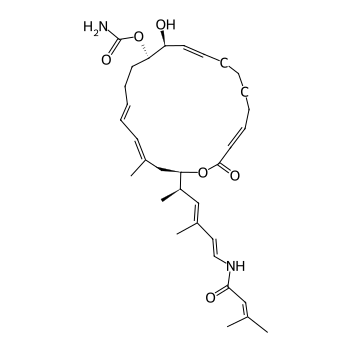 CC(C)=CC(=O)N/C=C/C(C)=C/[C@@H](C)[C@H]1C/C(C)=C/C=C/CC[C@H](OC(N)=O)[C@@H](O)/C=C/CCCC/C=C/C(=O)O1